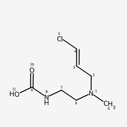 CN(CC=CCl)CCNC(=O)O